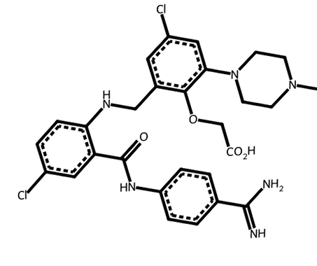 CN1CCN(c2cc(Cl)cc(CNc3ccc(Cl)cc3C(=O)Nc3ccc(C(=N)N)cc3)c2OCC(=O)O)CC1